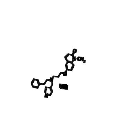 Cl.Cl.Cn1c(=O)ccc2cc(OCCCN(CCc3ccccc3)Cc3ccncc3)ccc21